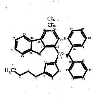 CCCCC1=CC[C]([Zr+2](=[C](c2ccccc2)c2ccccc2)[c]2cccc3c2Cc2ccccc2-3)=C1.[Cl-].[Cl-]